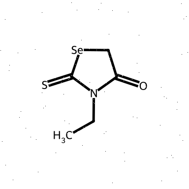 CCN1C(=O)C[Se]C1=S